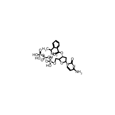 CC(N)c1ccccc1C(=O)O[C@@H]1CC(n2ccc(N)nc2=O)OC1COP(=O)(O)OP(=O)(O)OP(=O)(O)O